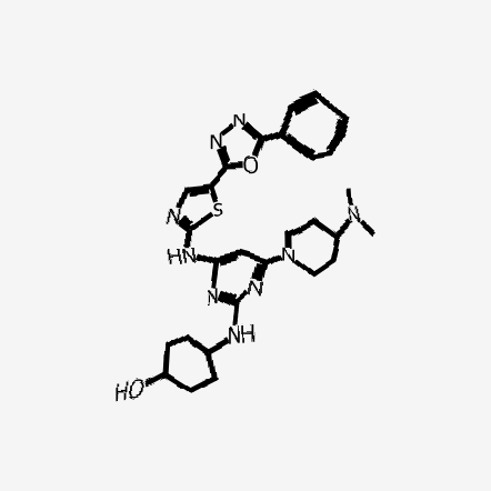 CN(C)C1CCN(c2cc(Nc3ncc(-c4nnc(-c5ccccc5)o4)s3)nc(NC3CCC(O)CC3)n2)CC1